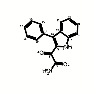 NC(=O)C(=O)c1[nH]c2ccccc2c1-c1ccccc1